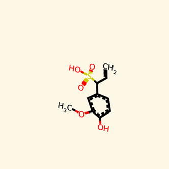 C=CC(c1ccc(O)c(OC)c1)S(=O)(=O)O